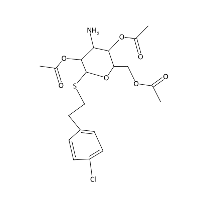 CC(=O)OCC1OC(SCCc2ccc(Cl)cc2)C(OC(C)=O)C(N)C1OC(C)=O